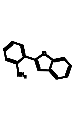 Nc1ccccc1-c1cc2ccccc2o1